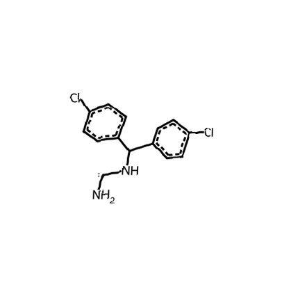 N[C]NC(c1ccc(Cl)cc1)c1ccc(Cl)cc1